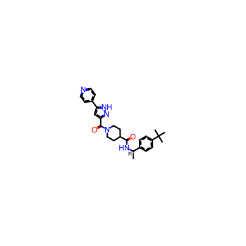 C[C@@H](NC(=O)C1CCN(C(=O)c2cc(-c3ccncc3)[nH]n2)CC1)c1ccc(C(C)(C)C)cc1